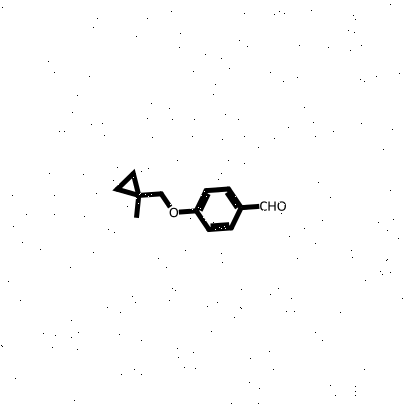 CC1(COc2ccc(C=O)cc2)CC1